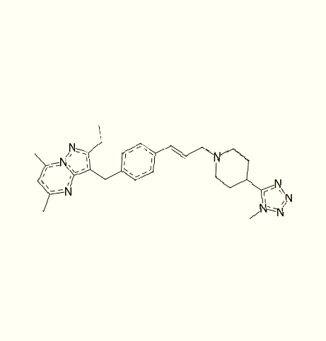 CCc1nn2c(C)cc(C)nc2c1Cc1ccc(/C=C/CN2CCC(c3nnnn3C)CC2)cc1